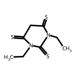 CCN1C(=S)CC(=S)N(CC)C1=S